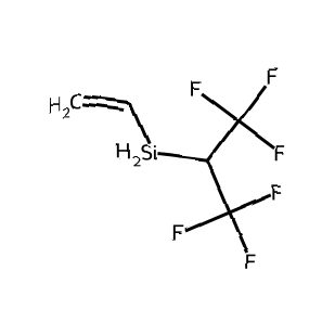 C=C[SiH2]C(C(F)(F)F)C(F)(F)F